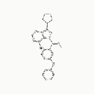 C/N=C(\c1cccc(Oc2ccccc2)c1)c1nn(C2CCCC2)c2ncnc(N)c12